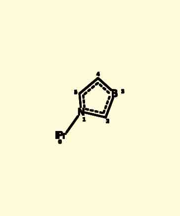 CC(C)n1cbcc1